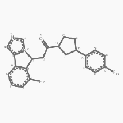 O=C(CC1c2c(F)cccc2-c2cncn21)C1CCC(c2ccc(F)cc2)C1